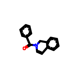 O=C(c1ccccc1)N1C=Cc2ccccc2C1